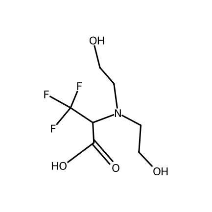 O=C(O)C(N(CCO)CCO)C(F)(F)F